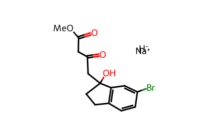 COC(=O)CC(=O)CC1(O)CCc2ccc(Br)cc21.[H-].[Na+]